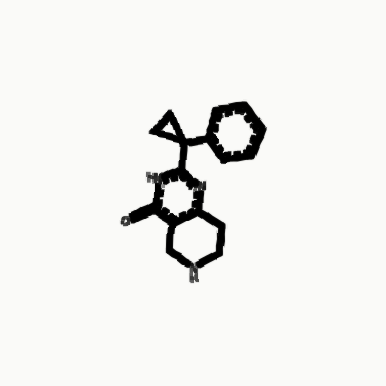 O=c1[nH]c(C2(c3ccccc3)CC2)nc2c1CNCC2